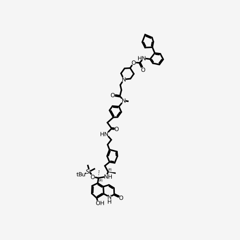 C[C@H](Cc1cccc(CCNC(=O)Cc2ccc(N(C)C(=O)CCN3CCC(OC(=O)Nc4ccccc4-c4ccccc4)CC3)cc2)c1)N[C@](C)(O[Si](C)(C)C(C)(C)C)c1ccc(O)c2[nH]c(=O)ccc12